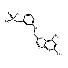 Nc1nc(N)c2nc(CNc3cccc(CP(=O)(O)O)c3)cnc2n1